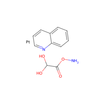 NOC(=O)C(O)O.[Pt].c1ccc2ncccc2c1